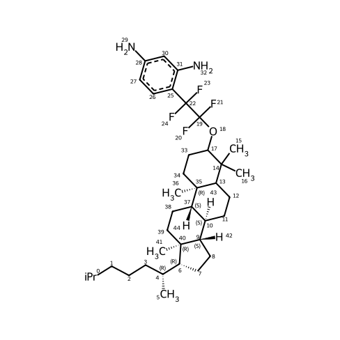 CC(C)CCC[C@@H](C)[C@H]1CC[C@H]2[C@@H]3CCC4C(C)(C)C(OC(F)(F)C(F)(F)c5ccc(N)cc5N)CC[C@]4(C)[C@H]3CC[C@]12C